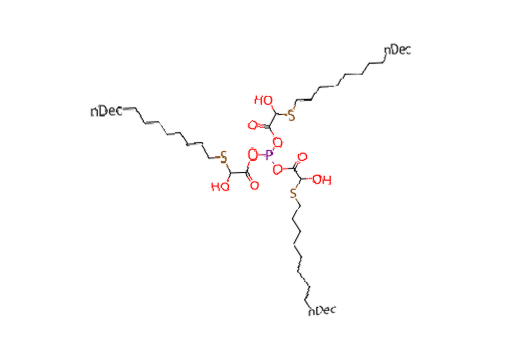 CCCCCCCCCCCCCCCCCCSC(O)C(=O)OP(OC(=O)C(O)SCCCCCCCCCCCCCCCCCC)OC(=O)C(O)SCCCCCCCCCCCCCCCCCC